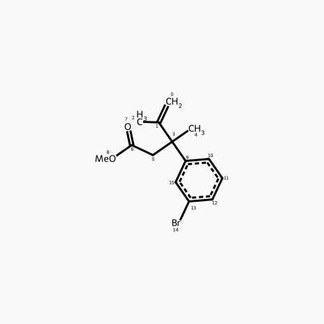 C=C(C)C(C)(CC(=O)OC)c1cccc(Br)c1